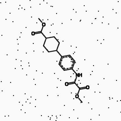 COC(=O)C(=O)Nc1ccc(C2CCC(C(=O)OC)CC2)cc1